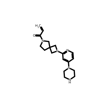 C=CC(=O)N1CCC2(C1)CN(c1cc(N3CCNCC3)ccn1)C2